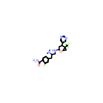 CN(C)C(CNC(=O)CC(c1cncnc1)C1(C(F)(F)F)CC1)Cc1ccc(C(N)=O)c(F)c1